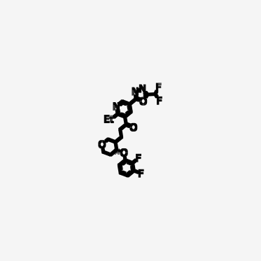 CCc1ncc(-c2nnc(C(F)F)o2)cc1C(=O)CCC1COCC[C@H]1Oc1cccc(F)c1F